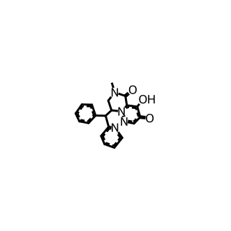 CN1CC(C(c2ccccc2)c2ccccn2)n2ncc(=O)c(O)c2C1=O